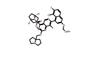 COCOc1cc(-c2ncc3c(N4C[C@H]5CC[C@@H](C4)N5C(=O)OC(C)(C)C)nc(OCC45CCCN4CCC5)nc3c2F)c2c(Cl)c(F)ccc2c1